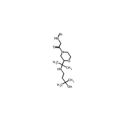 CC(C)NCC(=O)N1CCOC(C(C)(C)NCCC(C)(C)O)C1